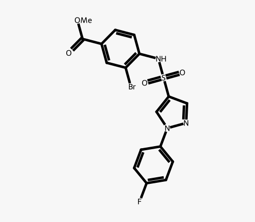 COC(=O)c1ccc(NS(=O)(=O)c2cnn(-c3ccc(F)cc3)c2)c(Br)c1